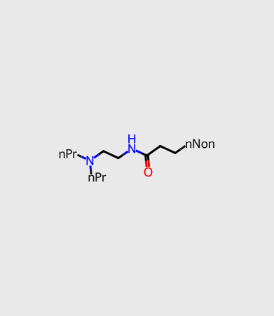 CCCCCCCCCCCC(=O)NCCN(CCC)CCC